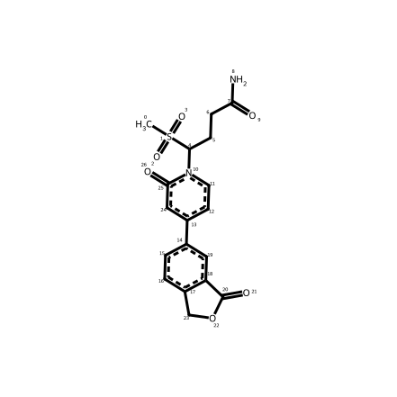 CS(=O)(=O)C(CCC(N)=O)n1ccc(-c2ccc3c(c2)C(=O)OC3)cc1=O